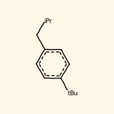 CC(C)Cc1ccc(C(C)(C)C)cc1